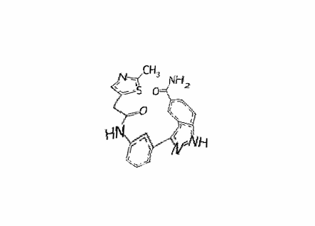 Cc1ncc(CC(=O)Nc2cccc(-c3n[nH]c4ccc(C(N)=O)cc34)c2)s1